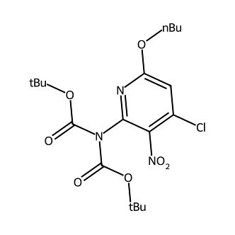 CCCCOc1cc(Cl)c([N+](=O)[O-])c(N(C(=O)OC(C)(C)C)C(=O)OC(C)(C)C)n1